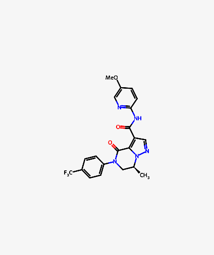 COc1ccc(NC(=O)c2cnn3c2C(=O)N(c2ccc(C(F)(F)F)cc2)C[C@@H]3C)nc1